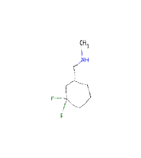 CNCC1CCCC(F)(F)C1